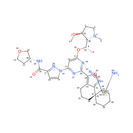 CO[C@H]1CCN(C)[C@@H]1[C@H](C)Oc1cc(-n2ccc(C(=O)N[C@@H]3CCOC3)n2)nc(-c2onc3c2CCC[C@@]32CCCc3sc(N)c(C#N)c32)n1